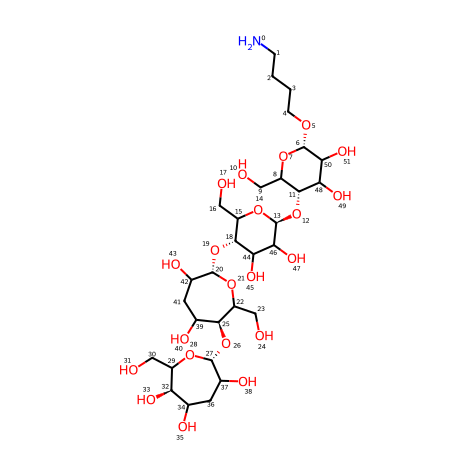 NCCCCO[C@H]1OC(CO)[C@@H](O[C@@H]2OC(CO)[C@@H](O[C@@H]3OC(CO)[C@@H](O[C@H]4OC(CO)[C@H](O)C(O)CC4O)C(O)CC3O)C(O)C2O)C(O)C1O